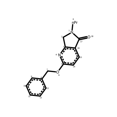 CCCN1Cc2nc(OCc3ccccc3)ccc2C1=O